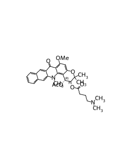 COc1cc2c(c3c1c(=O)c1cc4ccccc4cc1n3C)[C@@H](OC(C)=O)[C@@H](OC(=O)CCCN(C)C)C(C)(C)O2